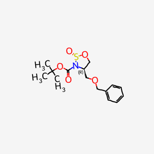 CC(C)(C)OC(=O)N1[C@H](COCc2ccccc2)COS1=O